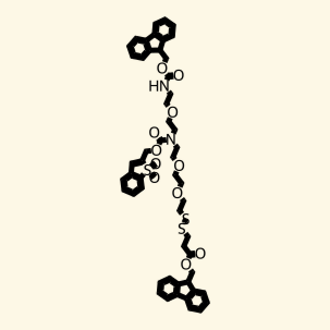 O=C(CCSSCCOCCOCCN(CCOCCNC(=O)OCC1c2ccccc2-c2ccccc21)C(=O)OCC1=Cc2ccccc2S1(=O)=O)OCC1c2ccccc2-c2ccccc21